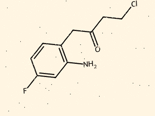 Nc1cc(F)ccc1CC(=O)CCCl